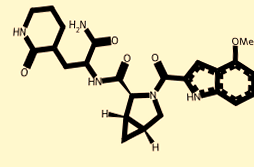 COc1cccc2[nH]c(C(=O)N3C[C@@H]4C[C@@H]4[C@H]3C(=O)NC(CC3CCCNC3=O)C(N)=O)cc12